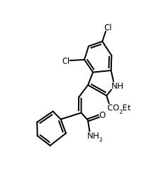 CCOC(=O)c1[nH]c2cc(Cl)cc(Cl)c2c1C=C(C(N)=O)c1ccccc1